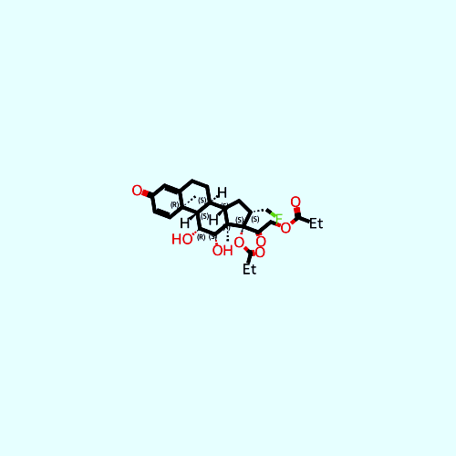 CCC(=O)OCC(=O)[C@]1(OC(=O)CC)[C@@H](CF)C[C@H]2[C@@H]3CCC4=CC(=O)C=C[C@]4(C)[C@H]3[C@@H](O)[C@@H](O)[C@@]21C